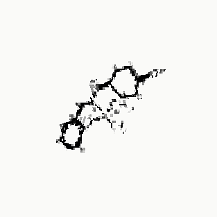 C[Si](C)(C)N(Cc1ccccc1)N=C1CCC(=O)CC1